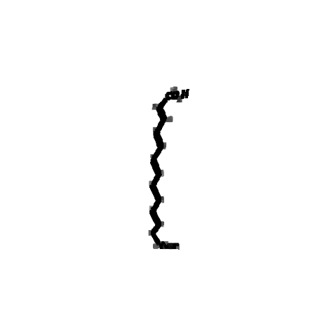 CCCCCCCCCCC=CC=CC=CC=CC=CC(=O)O